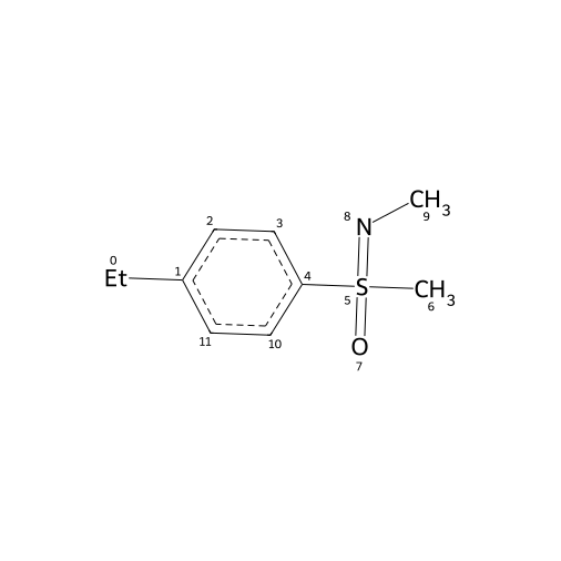 CCc1ccc(S(C)(=O)=NC)cc1